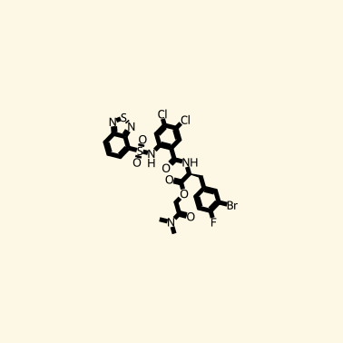 CN(C)C(=O)COC(=O)[C@H](Cc1ccc(F)c(Br)c1)NC(=O)c1cc(Cl)c(Cl)cc1NS(=O)(=O)c1cccc2nsnc12